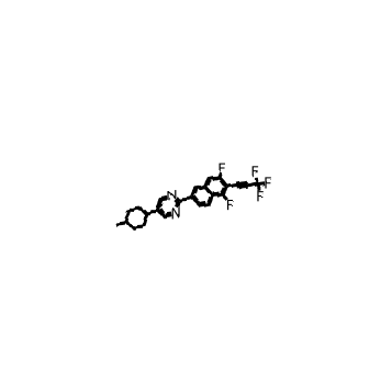 CC1CCC(c2cnc(-c3ccc4c(F)c(C#CC(F)(F)F)c(F)cc4c3)nc2)CC1